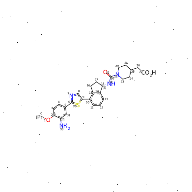 CC(C)Oc1ccc(-c2ncc(-c3cccc4c3CC[C@@H]4NC(=O)N3CCC(CC(=O)O)CC3)s2)cc1N